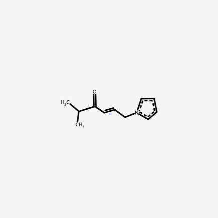 CC(C)C(=O)/C=C/Cn1cccc1